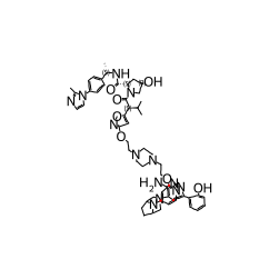 Cc1nccn1-c1ccc([C@H](C)NC(=O)[C@@H]2C[C@@H](O)CN2C(=O)[C@H](c2cc(OCCN3CCN(CCOc4cc(N5C6CCC5CN(c5cc(-c7ccccc7O)nnc5N)C6)ccn4)CC3)no2)C(C)C)cc1